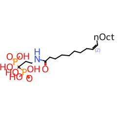 CCCCCCCC/C=C\CCCCCCCC(=O)NCCC(O)(P(=O)(O)O)P(=O)(O)O